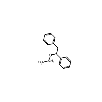 N[SiH2]OC(Cc1ccccc1)c1ccccc1